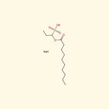 CCCCCCCCCC(=O)OC(CC)S(=O)(=O)O.[NaH]